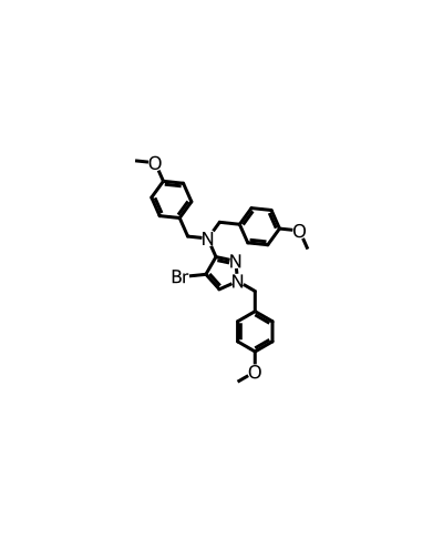 COc1ccc(CN(Cc2ccc(OC)cc2)c2nn(Cc3ccc(OC)cc3)cc2Br)cc1